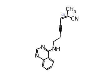 C/C(C#N)=C/C#CCCNc1ncnc2ccccc12